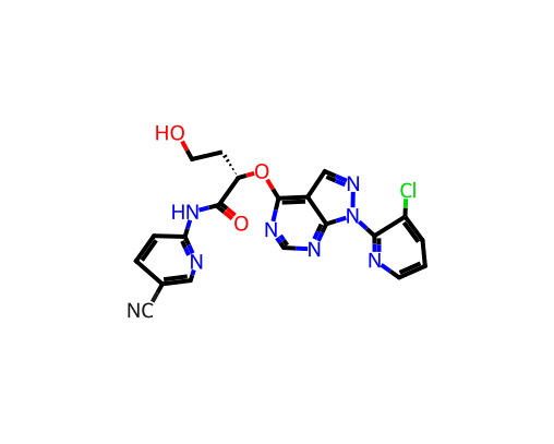 N#Cc1ccc(NC(=O)[C@H](CCO)Oc2ncnc3c2cnn3-c2ncccc2Cl)nc1